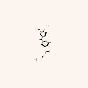 CCOC(=O)C(C)Oc1ccc(C(=O)c2ccc(O)c(CN)c2)c(Cl)c1Cl